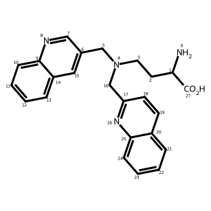 NC(CCN(Cc1cnc2ccccc2c1)Cc1ccc2ccccc2n1)C(=O)O